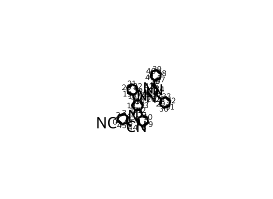 N#Cc1ccc(-n2c3ccccc3c3cc4c(cc32)c2ccccc2n4-c2nc(-c3ccccc3)nc(-c3ccccc3)n2)c(C#N)c1